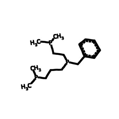 CP(C)CCCP(CCP(C)C)Cc1ccccc1